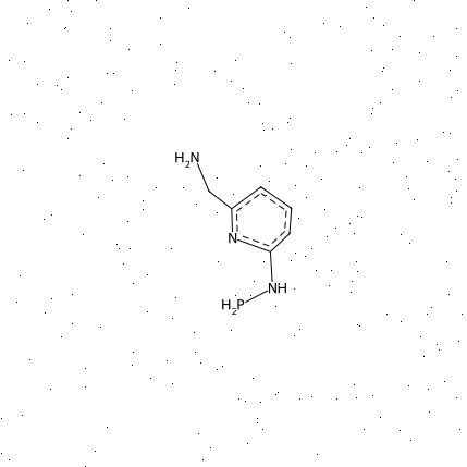 NCc1cccc(NP)n1